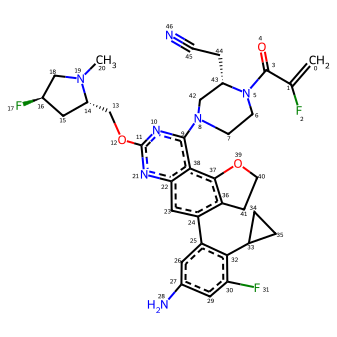 C=C(F)C(=O)N1CCN(c2nc(OC[C@@H]3C[C@@H](F)CN3C)nc3cc(-c4cc(N)cc(F)c4C4CC4)c4c(c23)OCC4)C[C@@H]1CC#N